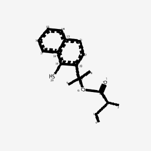 CCC(C)C(=O)OC(C)(C)c1ccc2ccccc2c1S